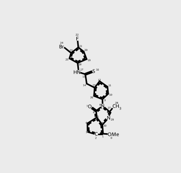 COc1cccc2c(=O)n(-c3cccc(CC(=S)Nc4ccc(F)c(Br)c4)c3)c(C)nc12